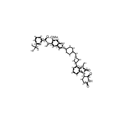 COc1cc2nn(C3CCC(CN4CC(c5cccc6c5n(C)c(=O)n6C5CCC(=O)NC5=O)C4)CC3)cc2cc1N(C)C(=O)c1cccc(C(C)(C)F)n1